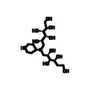 OCC[C@@H](O)[C@H](O)[C@@H](O)CN(C[C@H](O)[C@@H](O)[C@H](O)[C@H](O)CO)C1CCNCC1